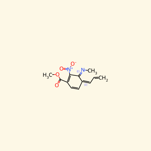 C=C/C=C1/C=CC(C(=O)OC)=C([N+](=O)[O-])/C1=N/C